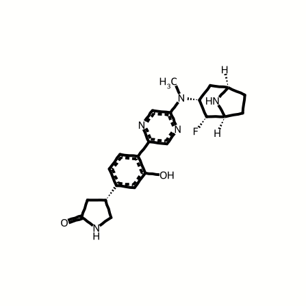 CN(c1cnc(-c2ccc([C@@H]3CNC(=O)C3)cc2O)cn1)[C@@H]1C[C@H]2CC[C@H](N2)[C@@H]1F